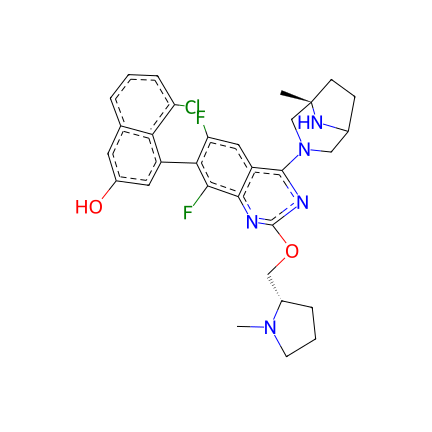 CN1CCC[C@H]1COc1nc(N2CC3CC[C@@](C)(C2)N3)c2cc(F)c(-c3cc(O)cc4cccc(Cl)c34)c(F)c2n1